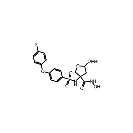 COC1CC(NS(=O)(=O)c2ccc(Oc3ccc(F)cc3)cc2)(C(=O)NO)CO1